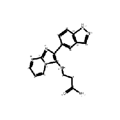 NC(=O)CCNc1c(-c2ccc3[nH]ncc3c2)nc2ncccn12